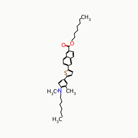 CCCCCCCCOC(=O)c1ccc2cc(-c3ccc(-c4ccc(N(C)CCCCCCCC)c(C)c4)s3)ccc2c1